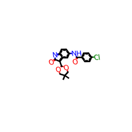 CC1(C)COC(C2=c3cc(NC(=O)c4ccc(Cl)cc4)ccc3=NC2=O)OC1